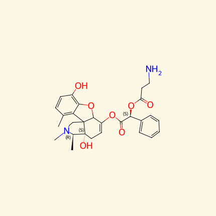 Cc1ccc(O)c2c1C13CCN(C)[C@H](C)[C@]1(O)CC=C(OC(=O)[C@@H](OC(=O)CCN)c1ccccc1)C3O2